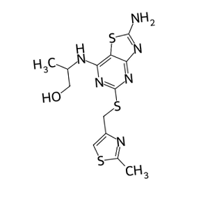 Cc1nc(CSc2nc(NC(C)CO)c3sc(N)nc3n2)cs1